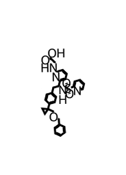 O=C(O)CNc1cccc(C(Cc2ccc(C3(COCc4ccccc4)CC3)cc2)NS(=O)(=O)c2ccccn2)n1